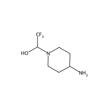 NC1CCN(C(O)C(F)(F)F)CC1